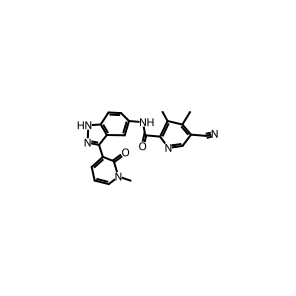 Cc1c(C#N)cnc(C(=O)Nc2ccc3[nH]nc(-c4cccn(C)c4=O)c3c2)c1C